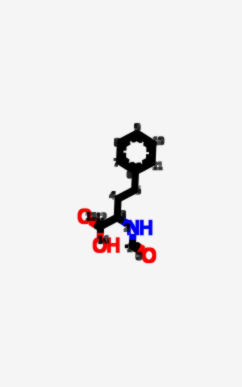 O=[C]NC(CCc1ccccc1)C(=O)O